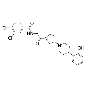 O=C(NCC(=O)N1CC[C@@H](N2CCC(c3ccccc3O)CC2)C1)c1ccc(Cl)c(Cl)c1